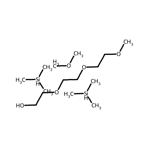 COC.COCCOCCOCCO.C[SiH](C)C.C[SiH](C)C